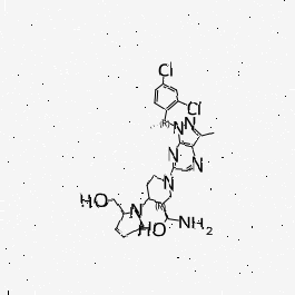 Cc1nn([C@H](C)c2ccc(Cl)cc2Cl)c2nc(N3CCC(N4CCCC4CO)[C@H](C(N)O)C3)cnc12